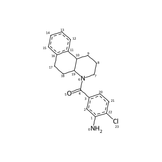 Nc1cc(C(=O)N2CCCC3c4ccccc4CCC32)ccc1Cl